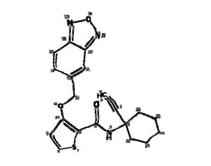 C#CC1(NC(=O)c2sccc2OCc2ccc3nonc3c2)CCCCC1